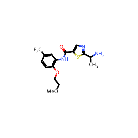 COCCOc1ccc(C(F)(F)F)cc1NC(=O)c1cnc(C(C)N)s1